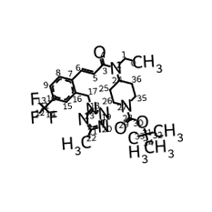 CCN(C(=O)/C=C/c1ccc(C(F)(F)F)cc1Cn1nnc(C)n1)C1CCN(C(=O)OC(C)(C)C)CC1